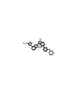 Cc1cn(-c2nccc3[nH]c(-c4n[nH]c5ccc(-c6cncc(CN7CCCCC7)c6)c(F)c45)nc23)cn1